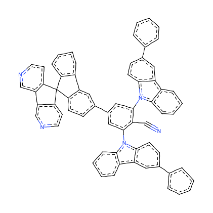 N#Cc1c(-n2c3ccccc3c3cc(-c4ccccc4)ccc32)cc(-c2ccc3c(c2)-c2ccccc2C32c3ccncc3-c3cnccc32)cc1-n1c2ccccc2c2cc(-c3ccccc3)ccc21